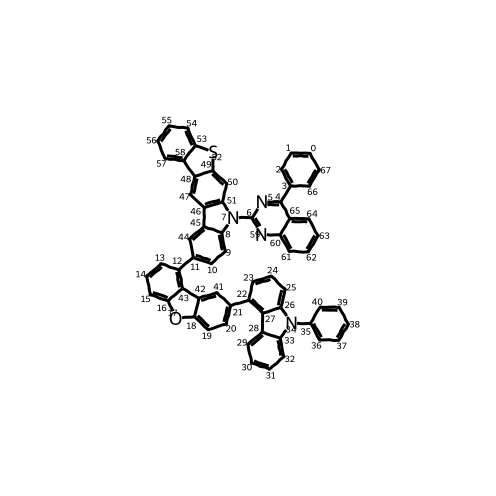 c1ccc(-c2nc(-n3c4ccc(-c5cccc6oc7ccc(-c8cccc9c8c8ccccc8n9-c8ccccc8)cc7c56)cc4c4cc5c(cc43)sc3ccccc35)nc3ccccc23)cc1